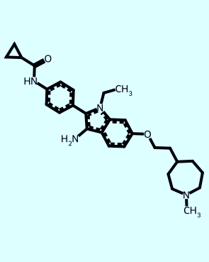 CCn1c(-c2ccc(NC(=O)C3CC3)cc2)c(N)c2ccc(OCCC3CCCN(C)CC3)cc21